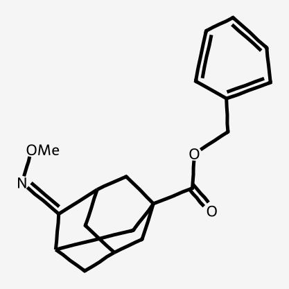 CON=C1C2CC3CC1CC(C(=O)OCc1ccccc1)(C3)C2